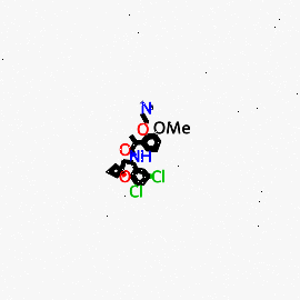 COc1cccc(C(C)C(=O)NC2CC3(CCC3)Oc3c(Cl)cc(Cl)cc32)c1OCCN(C)C